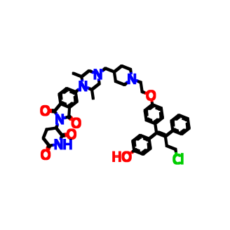 CC1CN(CC2CCN(CCOc3ccc(C(=C(CCCl)c4ccccc4)c4ccc(O)cc4)cc3)CC2)CC(C)N1c1ccc2c(c1)C(=O)N(C1CCC(=O)NC1=O)C2=O